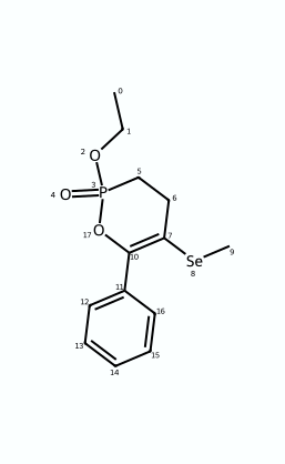 CCOP1(=O)CCC([Se]C)=C(c2ccccc2)O1